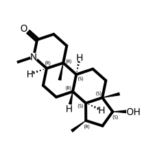 C[C@@H]1C[C@H](O)[C@@]2(C)CC[C@H]3[C@@H](CC[C@H]4N(C)C(=O)CC[C@]34C)[C@H]12